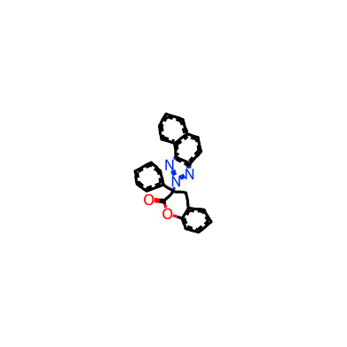 O=C1Oc2ccccc2CC1(c1ccccc1)n1nc2ccc3ccccc3c2n1